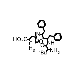 CCCCC(N)C(=O)NC(Cc1ccccc1)C(O)C(Cc1ccccc1)NC(=O)CC(C)C(=O)O